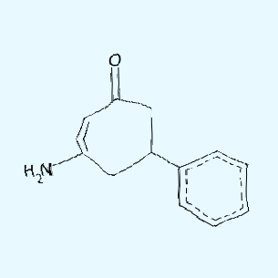 NC1=CC(=O)CC(c2ccccc2)C1